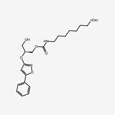 CCCCCCCCCCCCCCCCCNC(=O)OC[C@H](CO)Oc1cc(-c2ccccc2)on1